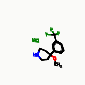 COC1(c2cccc(C(F)(F)F)c2)CCNCC1.Cl